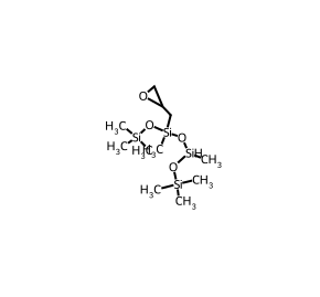 C[SiH](O[Si](C)(C)C)O[Si](C)(CC1CO1)O[Si](C)(C)C